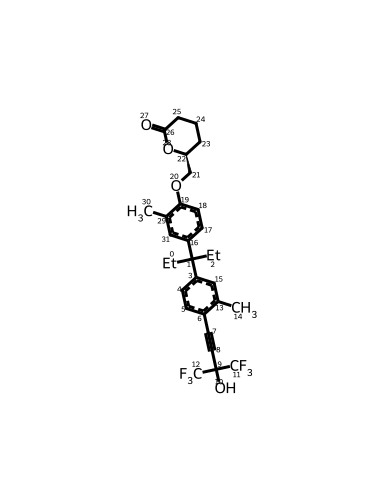 CCC(CC)(c1ccc(C#CC(O)(C(F)(F)F)C(F)(F)F)c(C)c1)c1ccc(OC[C@@H]2CCCC(=O)O2)c(C)c1